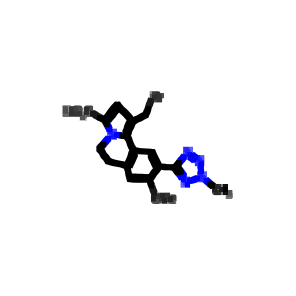 CCOC(=O)c1cc(CC(C)C)c2n1CCc1cc(OC)c(-c3nnn(C)n3)cc1-2